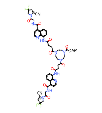 COC(=O)N1CCN(C(=O)CCC(=O)Nc2cccc3c(C(=O)NCC(=O)N4CC(F)(F)C[C@H]4C#N)ccnc23)CCN(C(=O)CCC(=O)Nc2cccc3c(C(=O)NCC(=O)N4CC(F)(F)C[C@H]4C#N)ccnc23)CC1